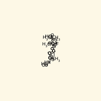 CCC(C)(NCc1cc(C(F)(F)F)c(O[C@H]2CCc3c(-c4cccc(-c5ccc(CNC[C@@H]6CCC(=O)N6)c(OC)n5)c4Cl)cccc32)nc1OC)C(=O)O